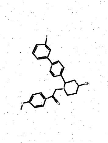 COc1ccc(C(=O)CN2CCC(O)CC2c2ccc(-c3cccc(F)c3)cc2)cc1